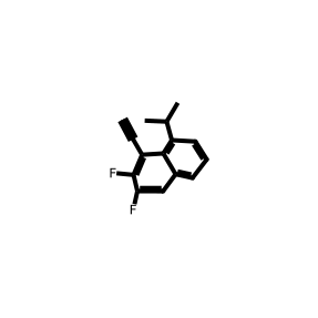 C#Cc1c(F)c(F)cc2cccc(C(C)C)c12